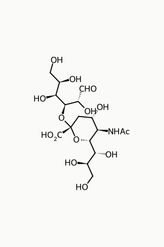 CC(=O)N[C@H]1[C@H]([C@H](O)[C@H](O)CO)O[C@@](O[C@@H]([C@@H](O)[C@H](O)CO)[C@@H](O)C=O)(C(=O)O)C[C@@H]1O